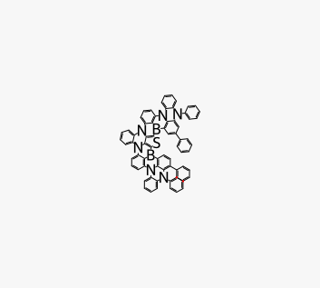 c1ccc(-c2cc3c4c(c2)N(c2ccccc2)c2ccccc2N4c2cccc4c2B3c2sc3c5c2N4c2ccccc2N5c2cccc4c2B3c2ccc(-c3ccccc3)c3c2N4c2ccccc2N3c2ccccc2)cc1